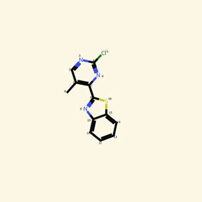 Cc1cnc(Cl)nc1-c1nc2ccccc2s1